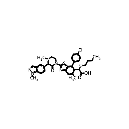 CCCCOC(C(=O)O)c1c(C)cc2nc(N3CCN(C)C(c4ccc5c(cnn5C)c4)C3=O)sc2c1-c1ccc(Cl)cc1